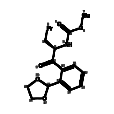 CC(C)C[C@@H](NC(=O)OC(C)(C)C)C(=O)c1ccccc1C1OCCO1